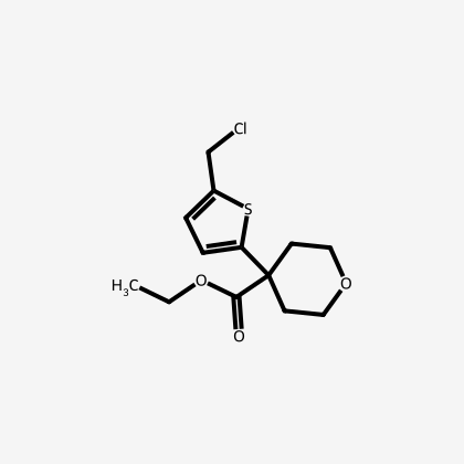 CCOC(=O)C1(c2ccc(CCl)s2)CCOCC1